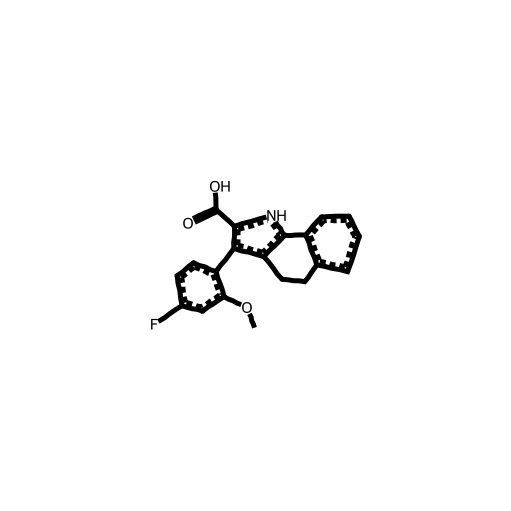 COc1cc(F)ccc1-c1c(C(=O)O)[nH]c2c1CCc1ccccc1-2